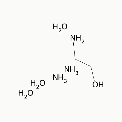 N.N.NCCO.O.O.O